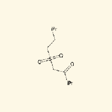 CC(C)CCS(=O)(=O)CC(=O)C(C)C